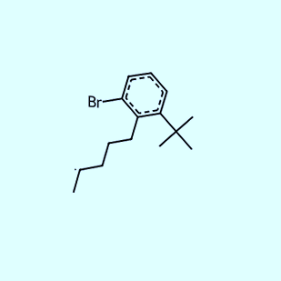 C[CH]CCCc1c(Br)cccc1C(C)(C)C